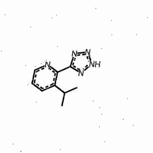 CC(C)c1cccnc1-c1nn[nH]n1